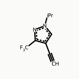 C#Cc1cn(C(C)C)nc1C(F)(F)F